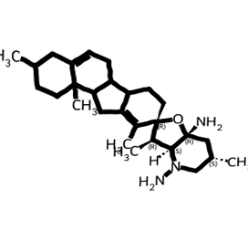 CC1=C2CC3C(CC=C4CC(C)CCC43C)C2CC[C@]12O[C@]1(N)C[C@H](C)CN(N)[C@H]1[C@H]2C